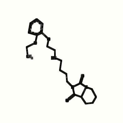 CCOc1ccccc1OCCNCCCCN1C(=O)C2CCCCN2C1=O